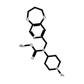 CC(=O)N1CCC(N(Cc2cc3c(cn2)OCCCO3)C(=O)OC(C)(C)C)CC1